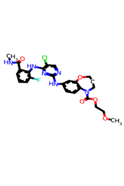 CNC(=O)c1cccc(F)c1Nc1nc(Nc2ccc3c(c2)OCCCN3C(=O)OCCOC)ncc1Cl